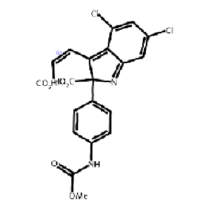 COC(=O)Nc1ccc(C2(C(=O)O)N=c3cc(Cl)cc(Cl)c3=C2/C=C\C(=O)O)cc1